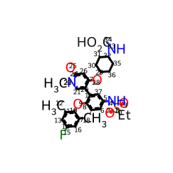 CCS(=O)(=O)Nc1ccc(Oc2c(C)cc(F)cc2C)c(-c2cn(C)c(=O)cc2O[C@H]2CC[C@H](NC(=O)O)CC2)c1